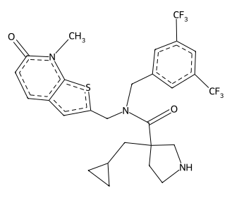 Cn1c(=O)ccc2cc(CN(Cc3cc(C(F)(F)F)cc(C(F)(F)F)c3)C(=O)C3(CC4CC4)CCNC3)sc21